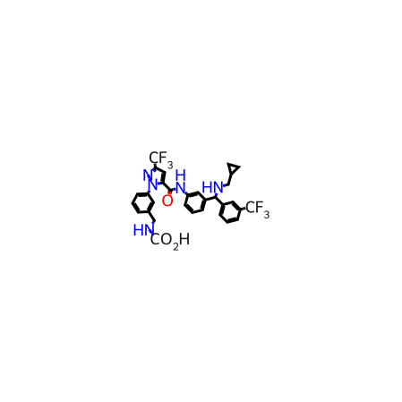 O=C(O)NCc1cccc(-n2nc(C(F)(F)F)cc2C(=O)Nc2cccc(C(NCC3CC3)c3cccc(C(F)(F)F)c3)c2)c1